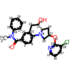 CN(C(=O)c1ccc(N2CCC(Oc3ncccc3Cl)C2)c(CCO)c1)c1ccccc1